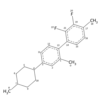 Cc1cc(C2CCC(C)CC2)ccc1-c1ccc(C)c(F)c1F